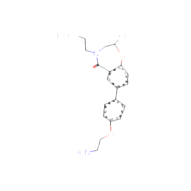 CC1CN(CCC(=O)O)C(=O)c2cc(-c3ccc(OCCN)cc3)ccc2O1